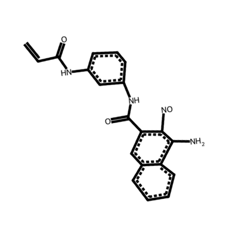 C=CC(=O)Nc1cccc(NC(=O)c2cc3ccccc3c(N)c2N=O)c1